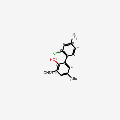 CC(C)(C)c1cc(C=O)c(O)c(-c2ccc(C(F)(F)F)cc2Cl)c1